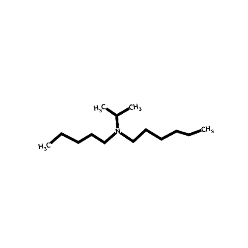 CCCCCCN(CCCCC)C(C)C